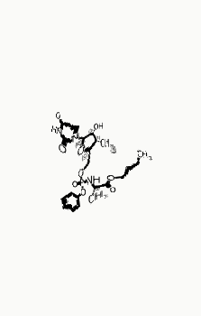 CCCCOC(=O)[C@H](C)NP(=O)(OC[C@H]1O[C@@H](n2ccc(=O)[nH]c2=O)[C@H](O)[C@@H]1C)Oc1ccccc1